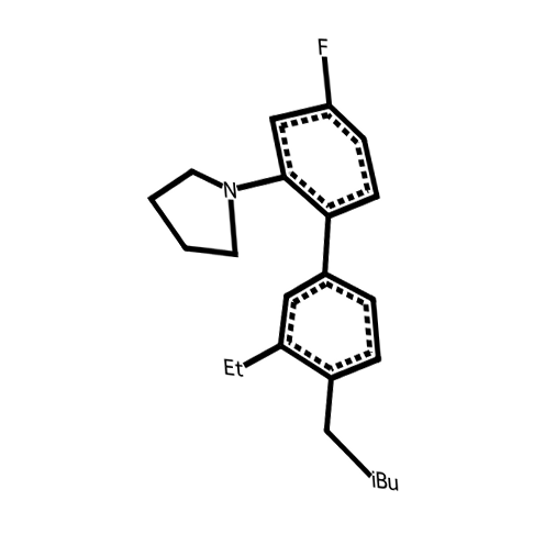 CCc1cc(-c2ccc(F)cc2N2CCCC2)ccc1CC(C)CC